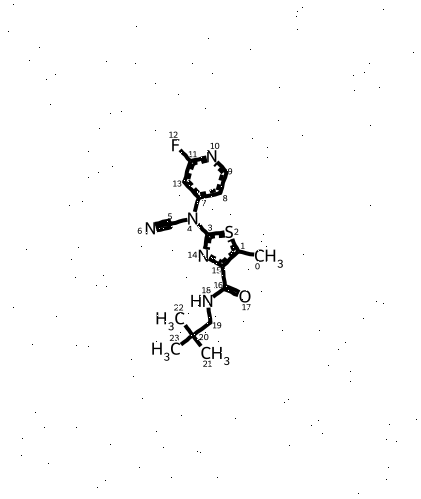 Cc1sc(N(C#N)c2ccnc(F)c2)nc1C(=O)NCC(C)(C)C